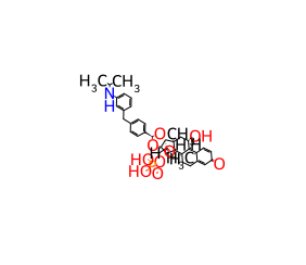 CC(C)Nc1cccc(Cc2ccc([C@@H]3O[C@@H]4C[C@H]5[C@@H]6CCC7=CC(=O)C=C[C@]7(C)[C@H]6[C@@H](O)C[C@]5(C)[C@]4(C(=O)COP(=O)(O)O)O3)cc2)c1